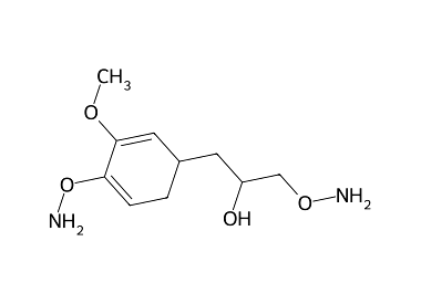 COC1=CC(CC(O)CON)CC=C1ON